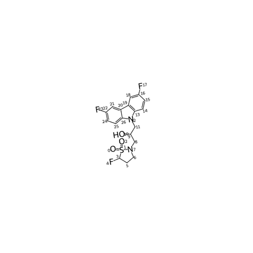 O=S1(=O)C(F)CCN1CC(O)Cn1c2ccc(F)cc2c2cc(F)ccc21